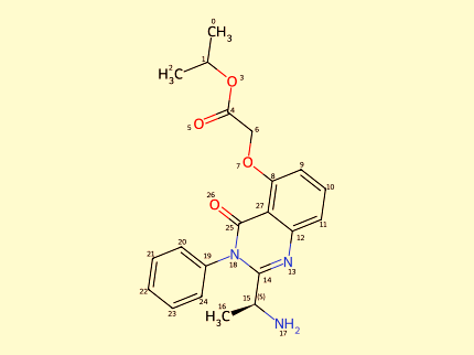 CC(C)OC(=O)COc1cccc2nc([C@H](C)N)n(-c3ccccc3)c(=O)c12